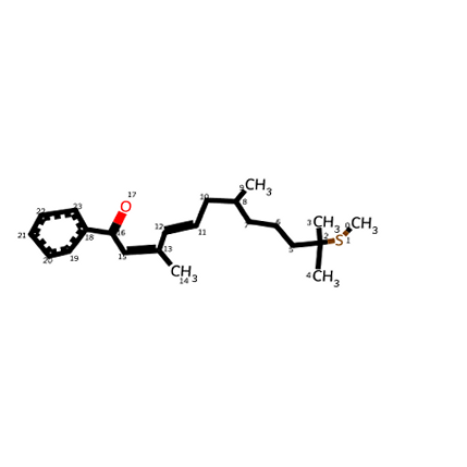 CSC(C)(C)CCCC(C)CC=CC(C)=CC(=O)c1ccccc1